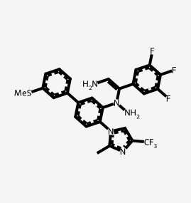 CSc1cccc(-c2ccc(-n3cc(C(F)(F)F)nc3C)c(N(N)/C(=C\N)c3cc(F)c(F)c(F)c3)c2)c1